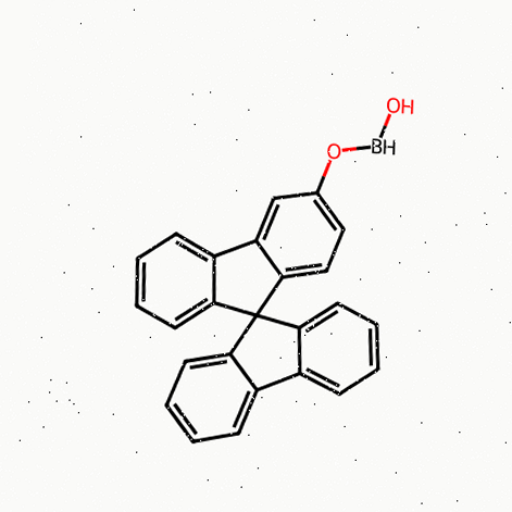 OBOc1ccc2c(c1)-c1ccccc1C21c2ccccc2-c2ccccc21